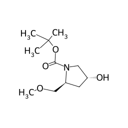 COC[C@@H]1C[C@@H](O)CN1C(=O)OC(C)(C)C